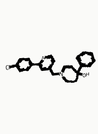 OC1(c2ccccc2)CCN(Cc2ccnc(-c3ccc(Cl)cc3)c2)CC1